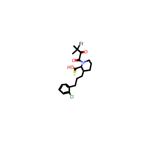 CCC(C)(C)C(=O)C(=O)N1CCCC(CCCc2ccccc2Cl)C1C(O)=S